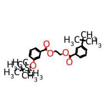 CC(C)(C)c1cccc(C(=O)OCCOC(=O)c2cccc(O[Si](C)(C)C(C)(C)C)c2)c1